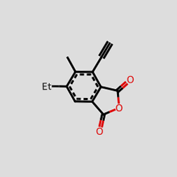 C#Cc1c(C)c(CC)cc2c1C(=O)OC2=O